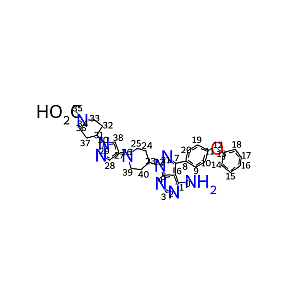 Nc1ncnc2c1c(-c1ccc(Oc3ccccc3)cc1)nn2C1CCN(c2cnn(C3CCN(C(=O)O)CC3)c2)CC1